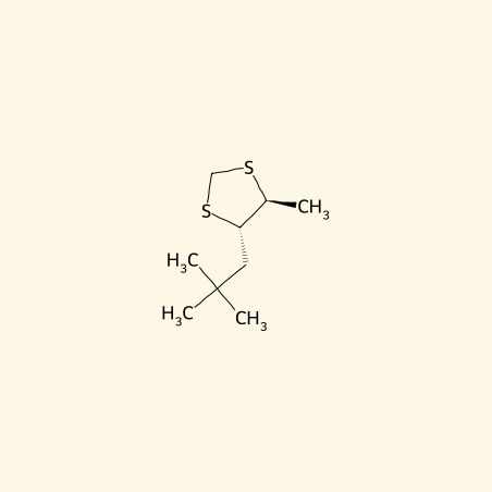 C[C@@H]1SCS[C@H]1CC(C)(C)C